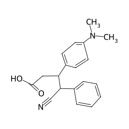 CN(C)c1ccc(C(CC(=O)O)C(C#N)c2ccccc2)cc1